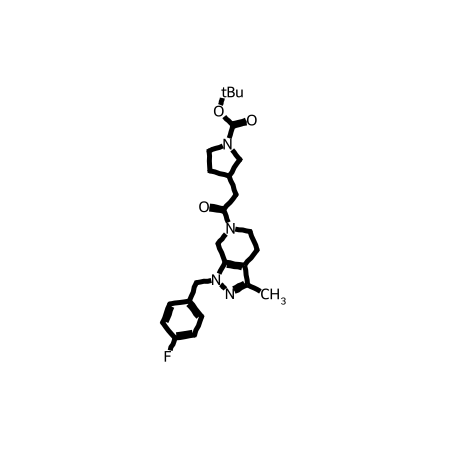 Cc1nn(Cc2ccc(F)cc2)c2c1CCN(C(=O)CC1CCN(C(=O)OC(C)(C)C)C1)C2